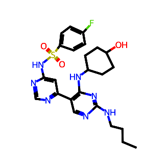 CCCCNc1ncc(-c2cc(NS(=O)(=O)c3ccc(F)cc3)ncn2)c(NC2CCC(O)CC2)n1